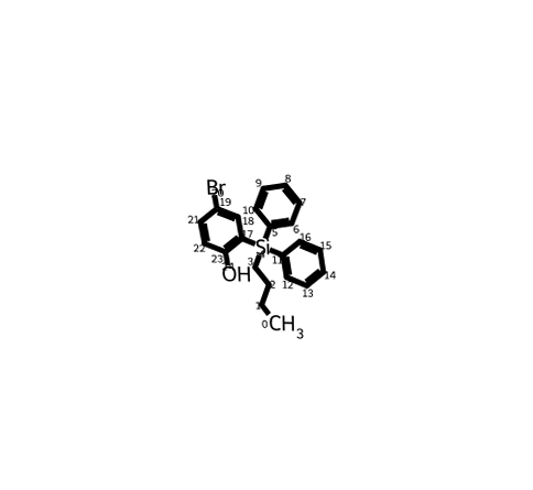 CCCC[Si](c1ccccc1)(c1ccccc1)c1cc(Br)ccc1O